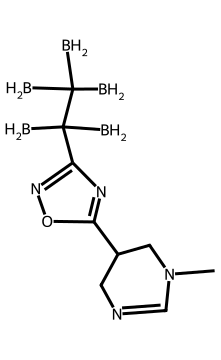 BC(B)(B)C(B)(B)c1noc(C2CN=CN(C)C2)n1